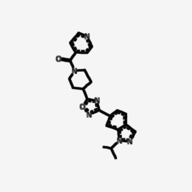 CC(C)n1ncc2ccc(-c3noc(C4CCN(C(=O)c5ccncc5)CC4)n3)cc21